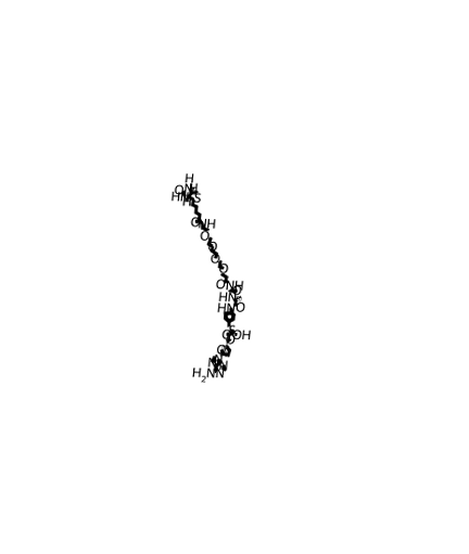 C[C@H](NC(=O)CNC(=O)CCOCCOCCOCCOCCNC(=O)CCCCC1SC[C@H]2NC(=O)N[C@@H]12)C(=O)Nc1ccc(CSP(=O)(O)OC[C@@H]2CC[C@H](n3cnc4c(N)ncnc43)O2)cc1